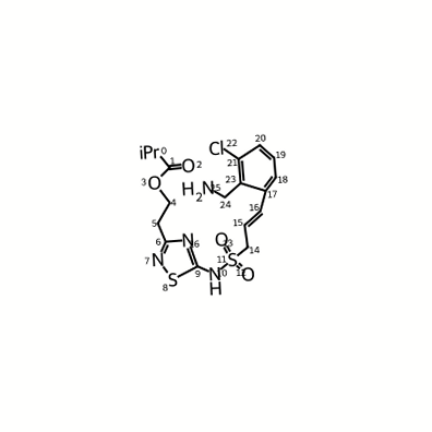 CC(C)C(=O)OCCc1nsc(NS(=O)(=O)CC=Cc2cccc(Cl)c2CN)n1